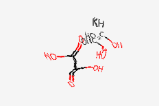 O=C(O)C(=O)O.O=C(O)O.O=CO.[KH]